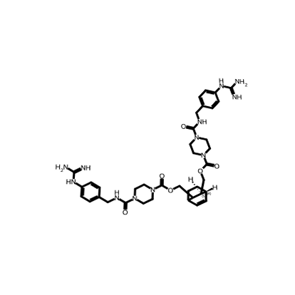 N=C(N)Nc1ccc(CNC(=O)N2CCN(C(=O)OCC3C4C=C[C@@H](CC4)[C@@H]3COC(=O)N3CCN(C(=O)NCc4ccc(NC(=N)N)cc4)CC3)CC2)cc1